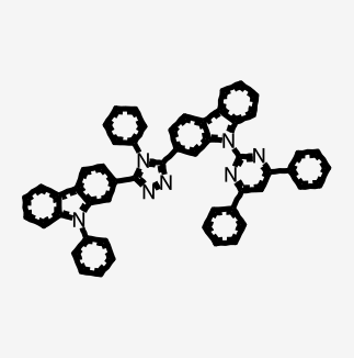 c1ccc(-c2cc(-c3ccccc3)nc(-n3c4ccccc4c4ccc(-c5nnc(-c6ccc7c8ccccc8n(-c8ccccc8)c7c6)n5-c5ccccc5)cc43)n2)cc1